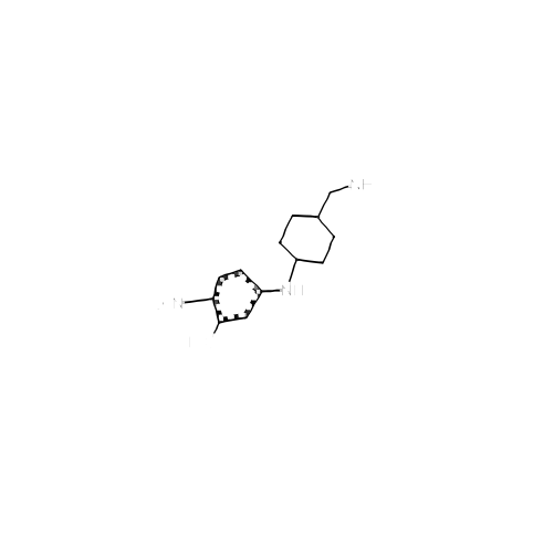 NCC1CCC(Nc2ccc([N+](=O)[O-])c(C(F)(F)F)c2)CC1